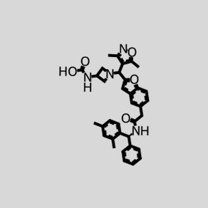 Cc1ccc([C@@H](NC(=O)Cc2ccc3oc(C(c4c(C)noc4C)N4CC(NC(=O)O)C4)cc3c2)c2ccccc2)c(C)c1